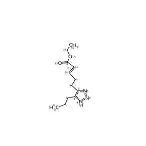 CCCc1[nH]nnc1CC/C=C/C(=O)OCC